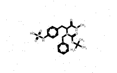 CNC(=O)C(Cc1ccc(NS(=O)(=O)O)cc1)N(Cc1ccccc1)C(=O)OC(C)(C)C